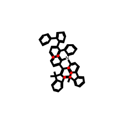 CC1(C)c2ccccc2-c2ccc(N(c3ccccc3-c3ccccc3-c3ccccc3-c3ccccc3)c3ccccc3-c3cccc4c3C(C)(C)c3ccccc3-4)cc21